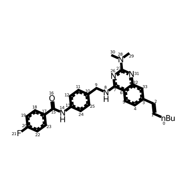 CCCCC=Cc1ccc2c(NCc3ccc(NC(=O)c4ccc(F)cc4)cc3)nc(N(C)C)nc2c1